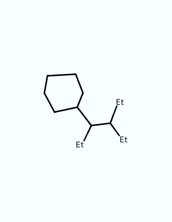 CCC(CC)C(CC)C1CCCCC1